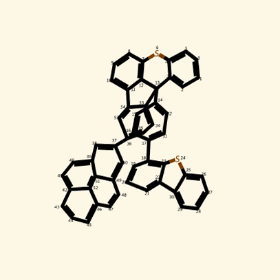 c1ccc2c(c1)Sc1cccc3c1C2(c1ccc(-c2cccc4c2sc2ccccc24)cc1)c1ccc(-c2cc4ccc5cccc6ccc(c2)c4c56)cc1-3